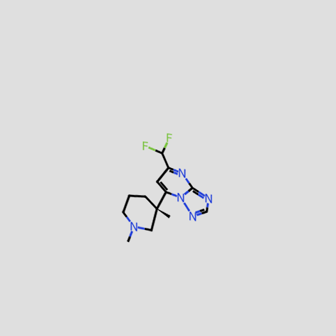 CN1CCC[C@](C)(c2cc(C(F)F)nc3ncnn23)C1